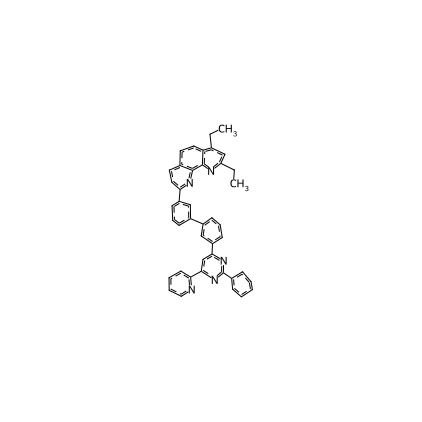 CCc1cc(CC)c2ccc3ccc(-c4cccc(-c5cccc(-c6cc(-c7ccccn7)nc(-c7ccccc7)n6)c5)c4)nc3c2n1